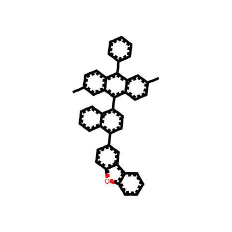 Cc1ccc2c(-c3ccc(-c4ccc5oc6ccccc6c5c4)c4ccccc34)c3cc(C)ccc3c(-c3ccccc3)c2c1